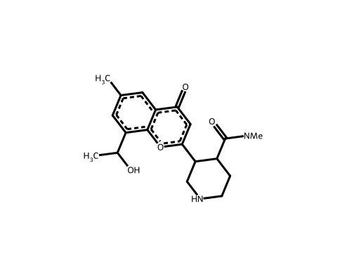 CNC(=O)C1CCNCC1c1cc(=O)c2cc(C)cc(C(C)O)c2o1